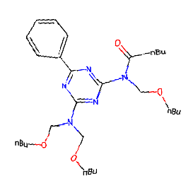 CCCCOCN(COCCCC)c1nc(-c2ccccc2)nc(N(COCCCC)C(=O)CCCC)n1